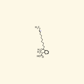 C=C(CCCCCCCC/C=C/CC)c1ccccc1C(C)C(=O)O